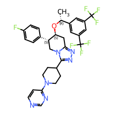 C[C@@H](O[C@H]1Cc2nnc(C3CCN(c4ccncn4)CC3)n2C[C@@H]1c1ccc(F)cc1)c1cc(C(F)(F)F)cc(C(F)(F)F)c1